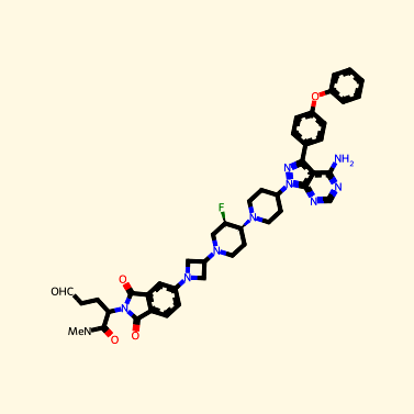 CNC(=O)C(CCC=O)N1C(=O)c2ccc(N3CC(N4CC[C@H](N5CCC(n6nc(-c7ccc(Oc8ccccc8)cc7)c7c(N)ncnc76)CC5)[C@H](F)C4)C3)cc2C1=O